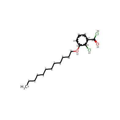 CCCCCCCCCCCCOc1cccc(C(=O)Cl)c1Cl